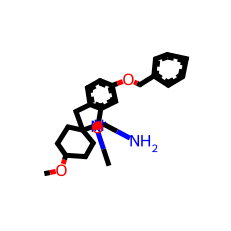 COC1CCC2(CC1)Cc1ccc(OCc3ccccc3)cc1C21N=C(N)N(C)O1